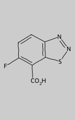 O=C(O)c1c(F)ccc2nnsc12